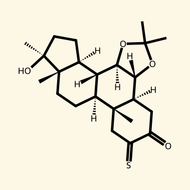 CC1(C)O[C@H]2[C@H](O1)[C@H]1CC(=O)C(=S)C[C@]1(C)[C@H]1CC[C@@]3(C)[C@@H](CC[C@]3(C)O)[C@H]21